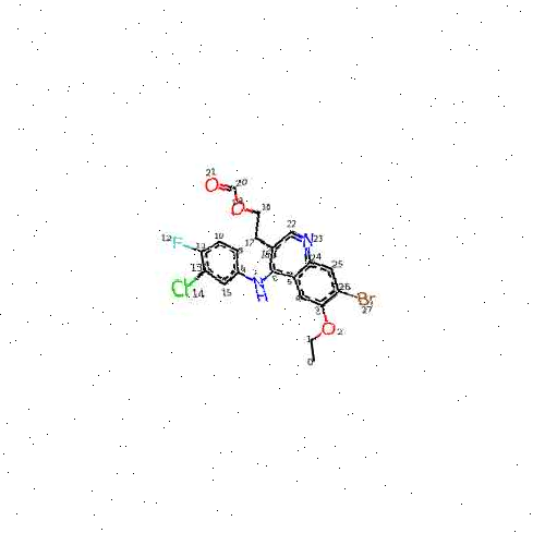 CCOc1cc2c(Nc3ccc(F)c(Cl)c3)c(CCOC=O)cnc2cc1Br